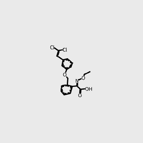 CCON=C(C(=O)O)c1ccccc1COc1cccc(C=C(Cl)Cl)c1